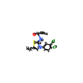 Cc1cn(-c2ccc(Cl)c(Cl)c2)c(=NC(=O)C(C)(C)C)s1